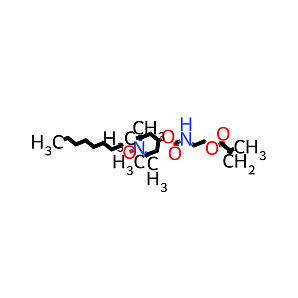 C=C(C)C(=O)OCCNC(=O)OC1CC(C)(C)N(OCCCCCCCC)C(C)(C)C1